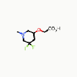 CN1CC(OCC(=O)O)CC(F)(F)C1